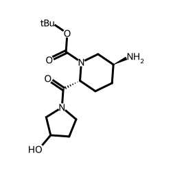 CC(C)(C)OC(=O)N1C[C@@H](N)CC[C@@H]1C(=O)N1CCC(O)C1